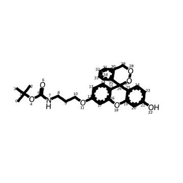 CC(C)(C)OC(=O)NCCCOc1ccc2c(c1)Oc1cc(O)ccc1C21OOCc2ccccc21